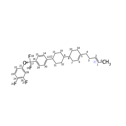 C/C=C/CCC1=CCC(C2CCC(c3ccc(C(F)(F)Oc4ccc(F)c(F)c4)cc3)CC2)CC1